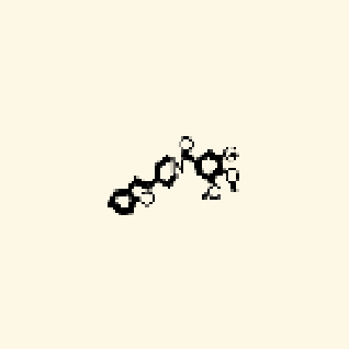 COc1cc(C(=O)N2CCC(c3cc4ccccc4o3)CC2)cc(OC)c1OC